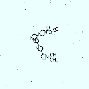 CC(C)N1CCC[C@H](c2ccc(-c3cc4c(N5CCN(C(=O)OC6COC6)CC5)ccnn4c3)nc2)C1